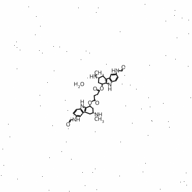 CN[C@@H]1Cc2c([nH]c3ccc(NC=O)cc23)C(OC(=O)CCC(=O)OC2C[C@H](NC)Cc3c2[nH]c2ccc(NC=O)cc32)C1.O